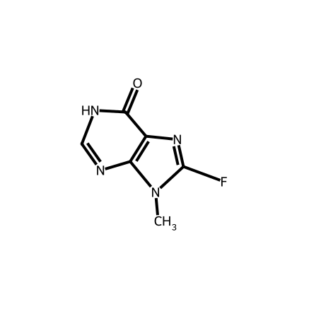 Cn1c(F)nc2c(=O)[nH]cnc21